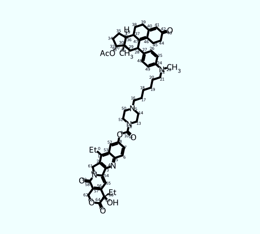 CCc1c2c(nc3ccc(OC(=O)N4CCN(CCCCCCN(C)c5ccc(C6C[C@]7(C)[C@H](OC(C)=O)CC[C@H]7C7CCC8=CC(=O)CCC8=C67)cc5)CC4)cc13)-c1cc3c(c(=O)n1C2)COC(=O)[C@]3(O)CC